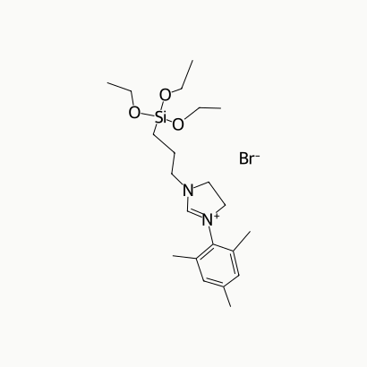 CCO[Si](CCCN1C=[N+](c2c(C)cc(C)cc2C)CC1)(OCC)OCC.[Br-]